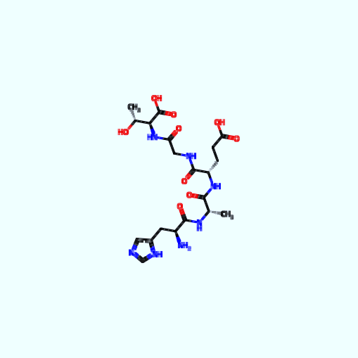 C[C@H](NC(=O)[C@@H](N)Cc1cnc[nH]1)C(=O)N[C@@H](CCC(=O)O)C(=O)NCC(=O)N[C@H](C(=O)O)[C@@H](C)O